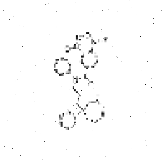 O=C(c1ccc([N+](=O)[O-])c([N+](=O)[O-])c1)N(CCCC1(c2ccccc2)CCC=CNC1)c1ccccc1